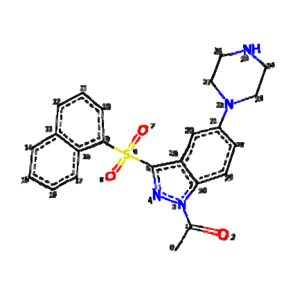 CC(=O)n1nc(S(=O)(=O)c2cccc3ccccc23)c2cc(N3CCNCC3)ccc21